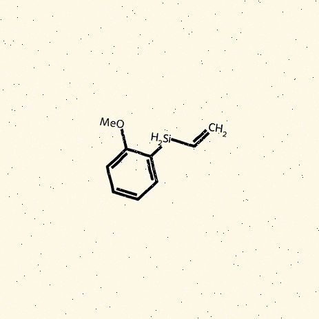 C=C[SiH2]c1ccccc1OC